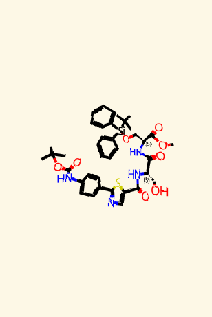 COC(=O)[C@H](CO[Si](c1ccccc1)(c1ccccc1)C(C)(C)C)NC(=O)[C@H](CO)NC(=O)c1cnc(-c2ccc(NC(=O)OC(C)(C)C)cc2)s1